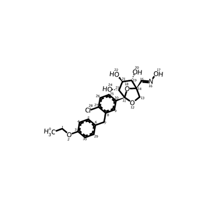 CCOc1ccc(Cc2cc([C@]34OC[C@](/C=N/O)(O3)[C@@H](O)[C@H](O)[C@H]4O)ccc2Cl)cc1